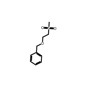 CS(=O)(=O)CCOCc1ccccc1